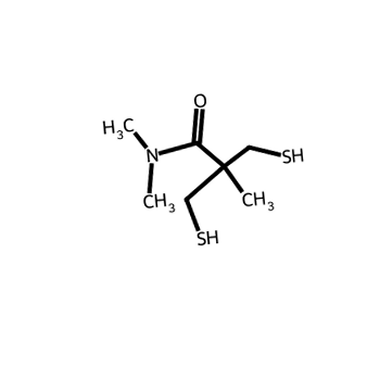 CN(C)C(=O)C(C)(CS)CS